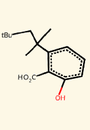 CC(C)(C)CC(C)(C)c1cccc(O)c1C(=O)O